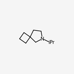 CC(C)N1CCC2(CCC2)C1